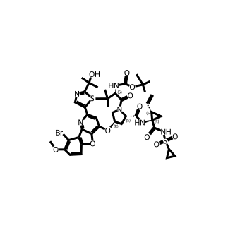 C=C[C@@H]1C[C@]1(NC(=O)[C@@H]1C[C@@H](Oc2cc(-c3cnc(C(C)(C)O)s3)nc3c2oc2ccc(OC)c(Br)c23)CN1C(=O)[C@@H](NC(=O)OC(C)(C)C)C(C)(C)C)C(=O)NS(=O)(=O)C1CC1